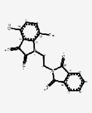 O=C1C(=O)N(CCN2C(=O)c3ccccc3C2=O)c2c(F)ccc(Cl)c21